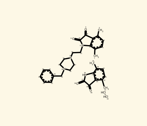 Cc1ccc(C)c2c1C(=O)C(=O)N2CCN1CCN(Cc2ccccc2)CC1.Cc1ccc(C)c2c1NC(=O)C2=O.Cl.Cl